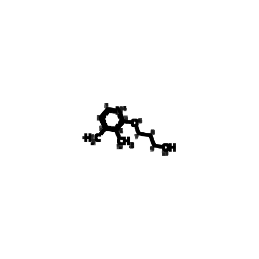 [CH2]c1ccnc(OCCCO)c1C